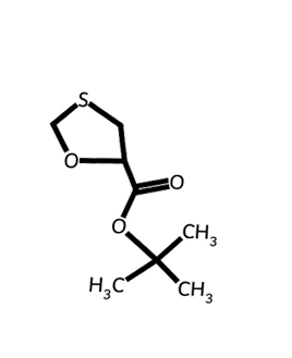 CC(C)(C)OC(=O)C1CSCO1